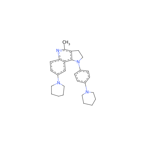 Cc1nc2ccc(N3CCCCC3)cc2c2c1CCN2c1ccc(N2CCCCC2)cc1